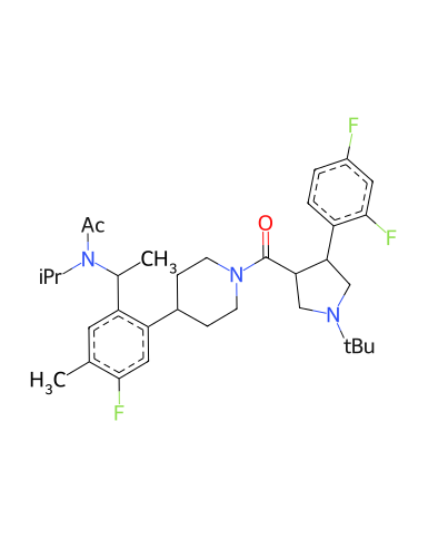 CC(=O)N(C(C)C)C(C)c1cc(C)c(F)cc1C1CCN(C(=O)C2CN(C(C)(C)C)CC2c2ccc(F)cc2F)CC1